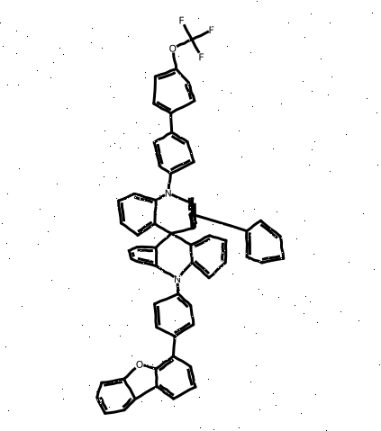 FC(F)(F)Oc1ccc(-c2ccc(N3c4ccccc4C4(c5ccccc5N(c5ccc(-c6cccc7c6oc6ccccc67)cc5)c5ccccc54)c4cc(-c5ccccc5)ccc43)cc2)cc1